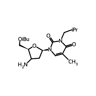 Cc1cn([C@H]2CC(N)[C@@H](COCC(C)C)O2)c(=O)n(CC(C)C)c1=O